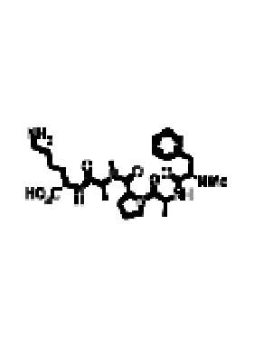 CN[C@@H](Cc1ccccc1)C(=O)N[C@@H](C)C(=O)N1CCC[C@H]1C(=O)N(C)[C@@H](C)C(=O)N[C@@H](CCCCN)C(=O)O